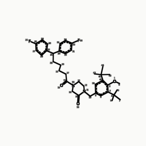 COc1c(C(C)(C)C)cc(CN2CCN(C(=O)CCCCC(c3ccc(F)cc3)c3ccc(F)cc3)CC2=O)cc1C(C)(C)C